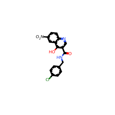 O=C(NCc1ccc(Cl)cc1)c1cnc2ccc([N+](=O)[O-])cc2c1O